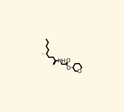 C=C(CC[C@H](C)CCCC)NCC(=O)O[C@@H]1CCCOC1